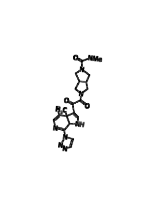 CNC(=O)N1CC2CN(C(=O)C(=O)C3=CNC4C(n5ccnn5)=NC=C(F)C34C)CC2C1